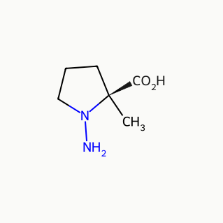 C[C@@]1(C(=O)O)CCCN1N